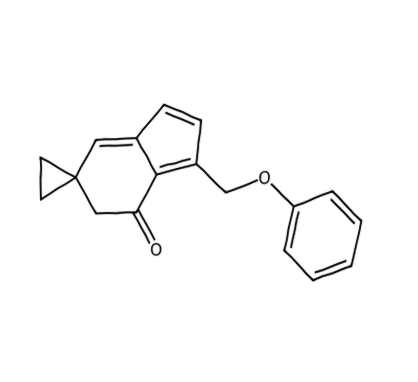 O=C1CC2(C=C3C=CC(COc4ccccc4)=C13)CC2